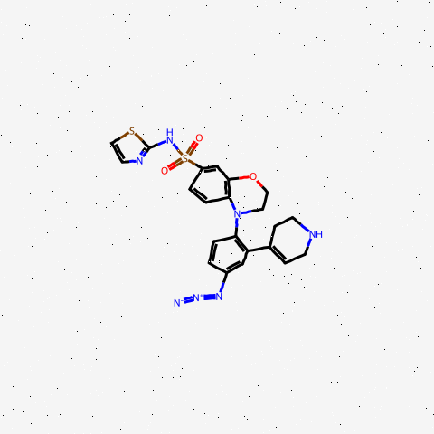 [N-]=[N+]=Nc1ccc(N2CCOc3cc(S(=O)(=O)Nc4nccs4)ccc32)c(C2=CCNCC2)c1